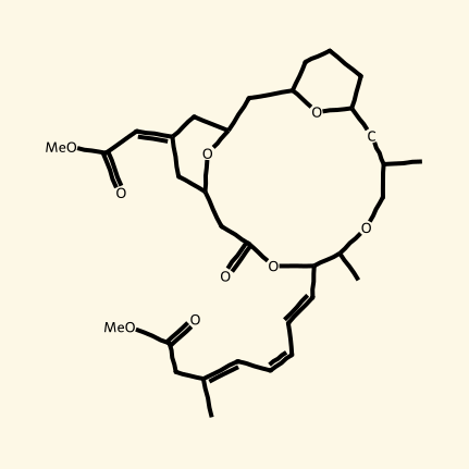 COC(=O)/C=C1\CC2CC(=O)OC(/C=C/C=C\C=C(/C)CC(=O)OC)C(C)OCC(C)CC3CCCC(CC(C1)O2)O3